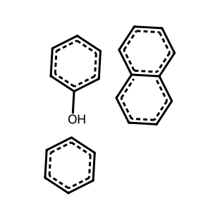 Oc1ccccc1.c1ccc2ccccc2c1.c1ccccc1